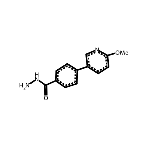 COc1ccc(-c2ccc(C(=O)NN)cc2)cn1